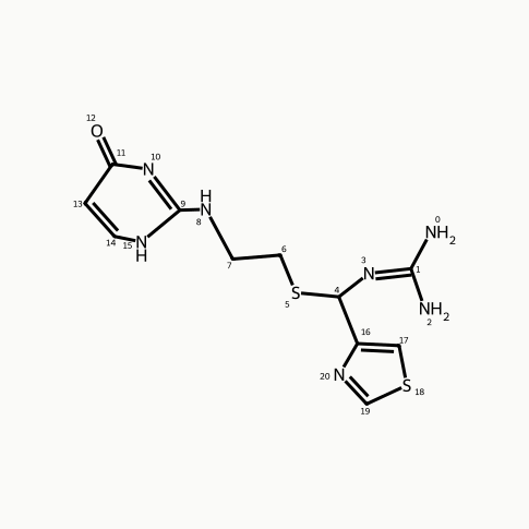 NC(N)=NC(SCCNc1nc(=O)cc[nH]1)c1cscn1